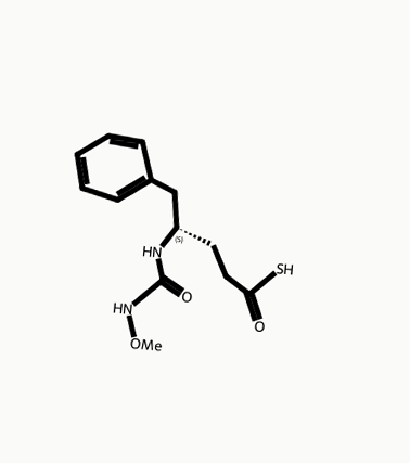 CONC(=O)N[C@@H](CCC(=O)S)Cc1ccccc1